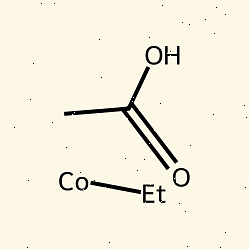 CC(=O)O.C[CH2][Co]